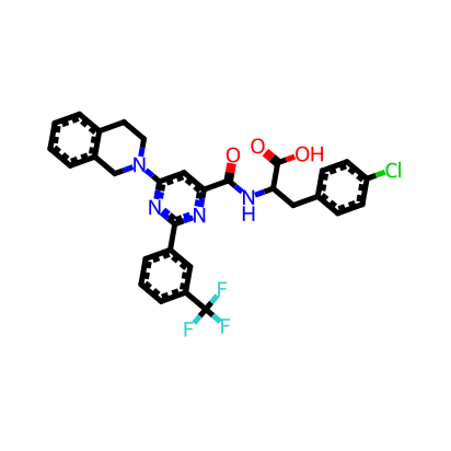 O=C(NC(Cc1ccc(Cl)cc1)C(=O)O)c1cc(N2CCc3ccccc3C2)nc(-c2cccc(C(F)(F)F)c2)n1